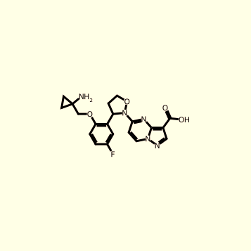 NC1(COc2ccc(F)cc2C2CCON2c2ccn3ncc(C(=O)O)c3n2)CC1